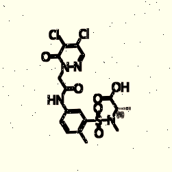 Cc1ccc(NC(=O)Cn2ncc(Cl)c(Cl)c2=O)cc1S(=O)(=O)N(C)[C@@H](C)C(=O)O